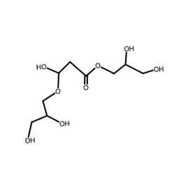 O=C(CC(O)OCC(O)CO)OCC(O)CO